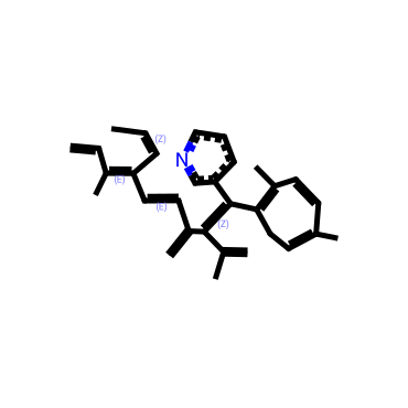 C=C/C(C)=C(\C=C/C)/C=C/C(=C)/C(C(=C)C)=C(/C1=C(C)C=CC(C)=CC1)c1cccnc1